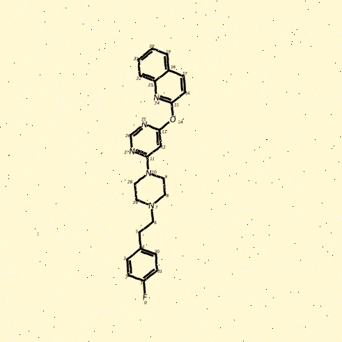 Fc1ccc(CCN2CCN(c3cc(Oc4ccc5ccccc5n4)ncn3)CC2)cc1